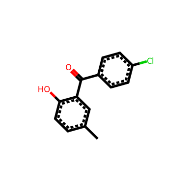 Cc1ccc(O)c(C(=O)c2ccc(Cl)cc2)c1